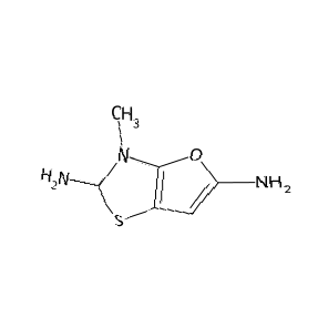 CN1c2oc(N)cc2SC1N